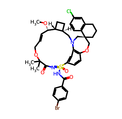 CO[C@H]1/C=C/COC(C)(C)C(=O)N=[S@](=O)(NC(=O)c2ccc(Br)cc2)c2ccc3c(c2)N(C[C@@H]2CC[C@H]21)C[C@@]1(CCCc2cc(Cl)ccc21)CO3